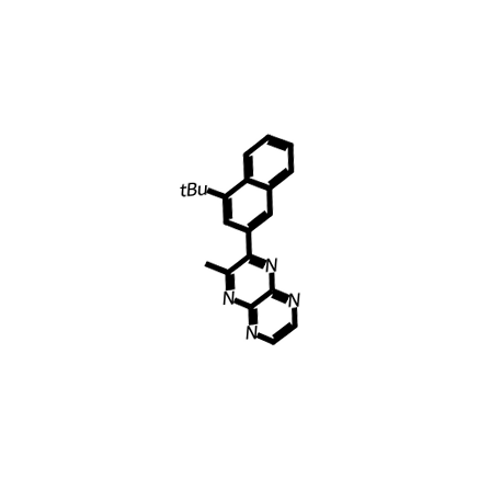 Cc1nc2nccnc2nc1-c1cc(C(C)(C)C)c2ccccc2c1